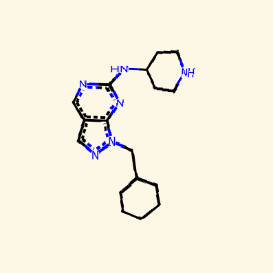 c1nc(NC2CCNCC2)nc2c1cnn2CC1CCCCC1